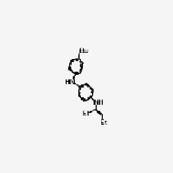 CC/C=C(\CC)Nc1ccc(Nc2ccc(C(C)CC)cc2)cc1